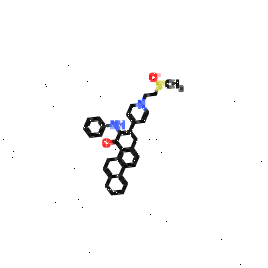 C[S+]([O-])CCN1C=CC(C2=C(Nc3ccccc3)C(=O)c3c(ccc4c3CC=C3CC=CC=C34)C2)=CC1